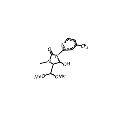 COC(OC)C1C(O)N(c2cc(C(F)(F)F)ccn2)C(=O)N1C